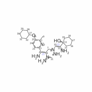 Cc1nc(/C(N)=C(\CN(N)/C=C(\N)C2(O)CCCCC2)N(C)N)ccc1OC1CCCCC1